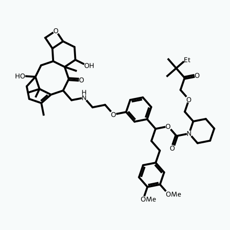 CCC(C)(C)C(=O)COCC1CCCCN1C(=O)OC(CCc1ccc(OC)c(OC)c1)c1cccc(OCCNCC2C(=O)C3(C)C(O)CC4OCC4C3CC3(O)CCC(C)=C2C3(C)C)c1